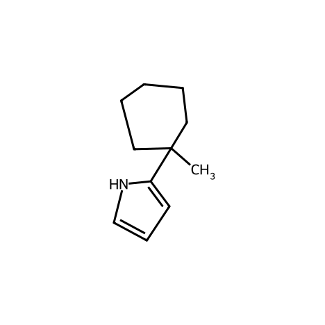 CC1(c2ccc[nH]2)CCCCC1